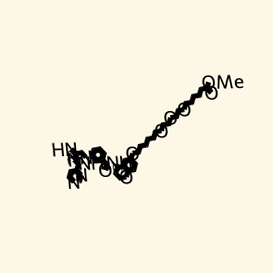 COC(=O)CCCCCOCCOCCOCCCCCCOc1ccc2c(c1)[C@H](NC(=O)c1cccc(NCC(=N)N(C)C(=N)c3ccncn3)c1)CCO2